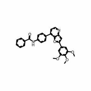 COc1cc(-c2cc3nccc(-c4ccc(NC(=O)c5ccccc5)cc4)c3o2)cc(OC)c1OC